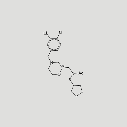 CC(=O)N(C[C@@H]1CN(Cc2ccc(Cl)c(Cl)c2)CCO1)SC1CCCC1